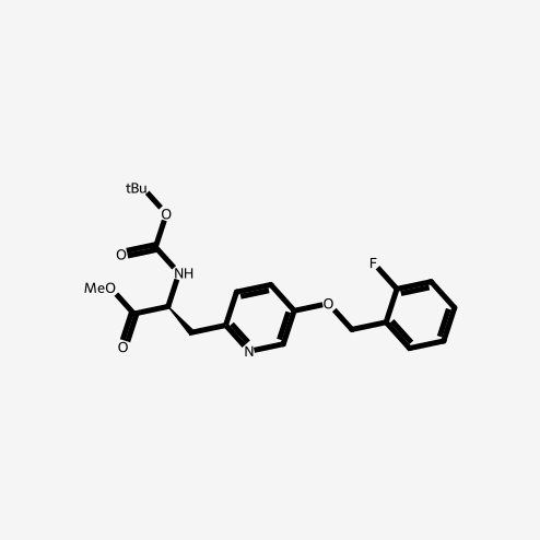 COC(=O)[C@H](Cc1ccc(OCc2ccccc2F)cn1)NC(=O)OC(C)(C)C